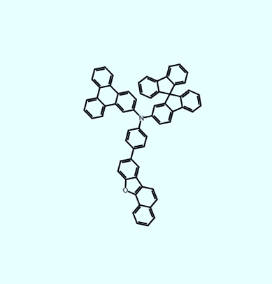 c1ccc2c(c1)-c1ccccc1C21c2ccccc2-c2ccc(N(c3ccc(-c4ccc5oc6c7ccccc7ccc6c5c4)cc3)c3ccc4c5ccccc5c5ccccc5c4c3)cc21